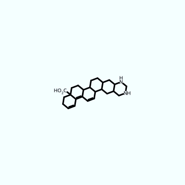 O=C(O)C12CCC=CC1=C1C=CC3C4CC5CNCNC5CC4CCC3C1CC2